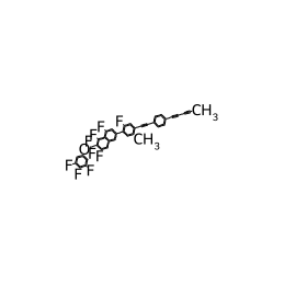 CC#CC#Cc1ccc(C#Cc2cc(F)c(-c3cc(F)c4c(F)c(C(F)(F)Oc5cc(F)c(F)c(F)c5)c(F)cc4c3)cc2C)cc1